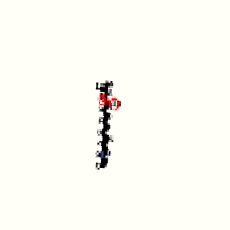 CC/C=C/CCCCCCCC(=O)OCC(C)C